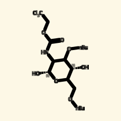 CCCCOCC1O[C@H](O)C(NC(=O)OCC(Cl)(Cl)Cl)C(OCCCC)[C@@H]1O